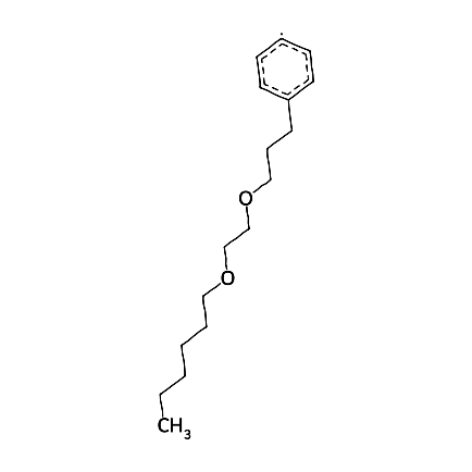 CCCCCCOCCOCCCc1cc[c]cc1